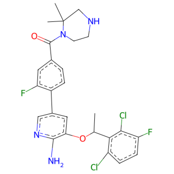 CC(Oc1cc(-c2ccc(C(=O)N3CCNCC3(C)C)cc2F)cnc1N)c1c(Cl)ccc(F)c1Cl